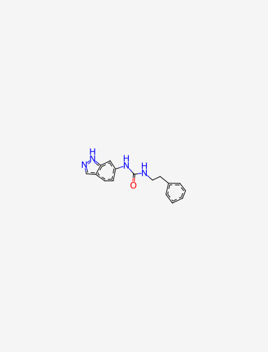 O=C(NCCc1ccccc1)Nc1ccc2cn[nH]c2c1